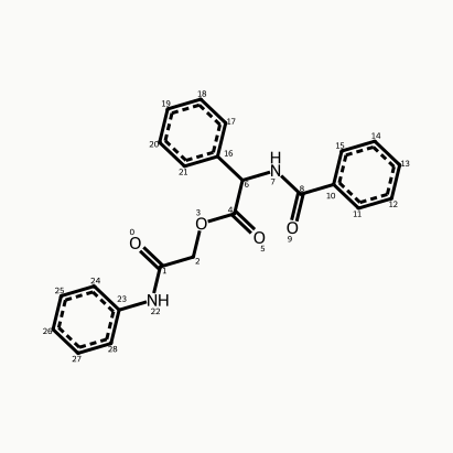 O=C(COC(=O)C(NC(=O)c1ccccc1)c1ccccc1)Nc1ccccc1